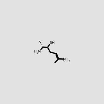 C/C(N)=C\CC(S)[C@@H](C)N